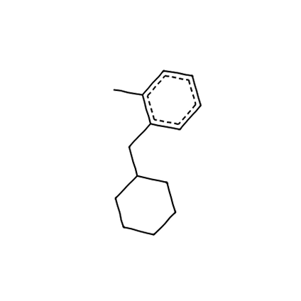 Cc1ccccc1CC1CCCCC1